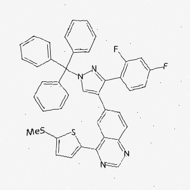 CSc1ccc(-c2ncnc3ccc(-c4cn(C(c5ccccc5)(c5ccccc5)c5ccccc5)nc4-c4ccc(F)cc4F)cc23)s1